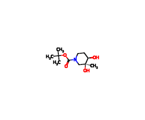 CC(C)(C)OC(=O)N1CC[C@@H](O)[C@@](C)(O)C1